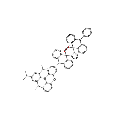 CC(C)c1cc(C(C)C)c(B2c3ccccc3Oc3cc(C4c5ccccc5C5(c6ccccc64)c4ccccc4C4(c6ccccc6N(c6ccccc6)c6ccccc64)c4ccccc45)ccc32)c(C(C)C)c1